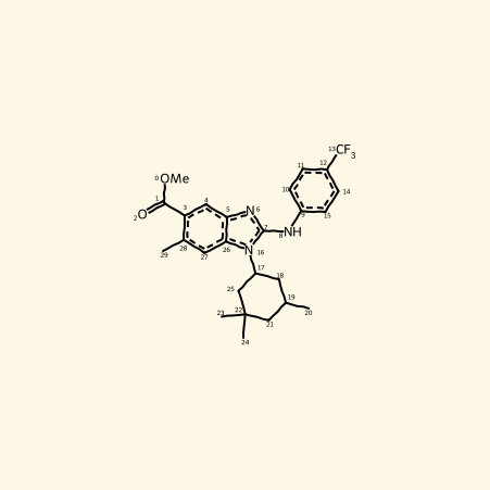 COC(=O)c1cc2nc(Nc3ccc(C(F)(F)F)cc3)n(C3CC(C)CC(C)(C)C3)c2cc1C